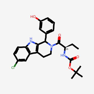 CC[C@@H](NC(=O)OC(C)(C)C)C(=O)N1CCc2c([nH]c3ccc(Cl)cc23)C1c1cccc(O)c1